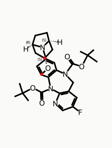 CO[C@@H]1C[C@H]2CC[C@@H](C1)N2c1ccc2c(c1)N(C(=O)OC(C)(C)C)Cc1cc(F)cnc1N2C(=O)OC(C)(C)C